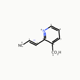 N#C/C=C/c1ncccc1C(=O)O